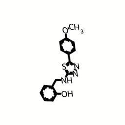 COc1ccc(-c2nnc(NCc3ccccc3O)s2)cc1